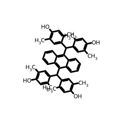 Cc1cc(C(c2cc(C)c(O)cc2C)c2c3ccccc3c(C(c3cc(C)c(O)cc3C)c3cc(C)c(O)cc3C)c3ccccc23)c(C)cc1O